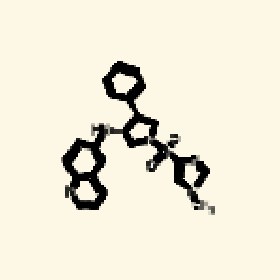 Cn1cnc(S(=O)(=O)N2C[C@H](Nc3ccc4ncccc4c3)[C@@H](c3ccccc3)C2)c1